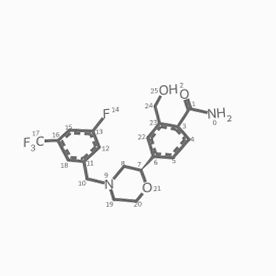 NC(=O)c1ccc([C@@H]2CN(Cc3cc(F)cc(C(F)(F)F)c3)CCO2)cc1CO